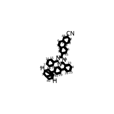 N#Cc1ccc2c(ccc3cc(-c4nc(-c5ccccc5)nc(-c5ccccc5-c5ccc(C67CC8C[C@H](C6)C[C@@H](C8)C7)cc5)n4)ccc32)c1